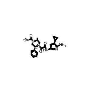 CC1CN(C(=O)C(=O)Nc2cnc(N)c(C3CC3)c2)[C@@H](c2ccccc2)CN1C(=O)C(C)(C)C